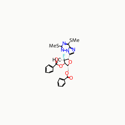 CSc1nc(SC)c2ncc([C@@H]3O[C@H](COC(=O)c4ccccc4)[C@@H](OC(=O)c4ccccc4)[C@@]3(C)F)n2n1